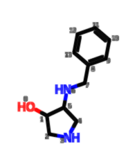 OC1CNCC1NCc1ccccc1